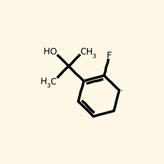 CC(C)(O)C1=C(F)[CH]CC=C1